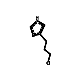 ClCCCc1c[nH]cn1